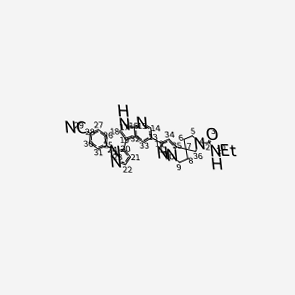 CCNC(=O)N1CCC2(CCn3nc(-c4cnc5[nH]cc(-c6ccnn6-c6ccc(C#N)cc6)c5c4)cc32)C1